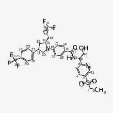 CCS(=O)(=O)c1ccc([C@H](CO)NC(=O)c2ccc(N3CC(c4ccc(C(F)(F)F)cc4)C[C@H]3COC(F)F)cc2)nc1